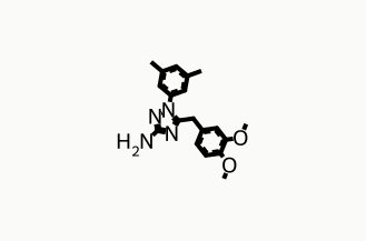 COc1ccc(Cc2nc(N)nn2-c2cc(C)cc(C)c2)cc1OC